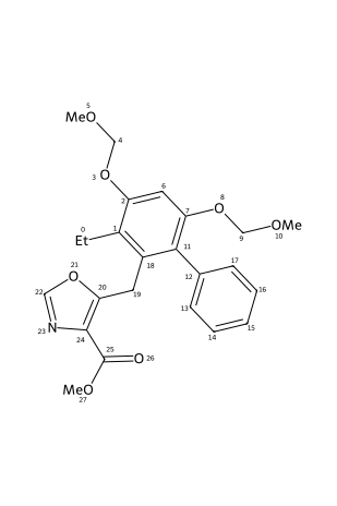 CCc1c(OCOC)cc(OCOC)c(-c2ccccc2)c1Cc1ocnc1C(=O)OC